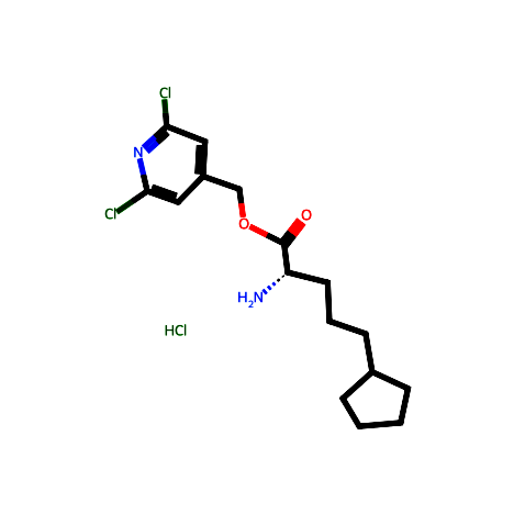 Cl.N[C@@H](CCCC1CCCC1)C(=O)OCc1cc(Cl)nc(Cl)c1